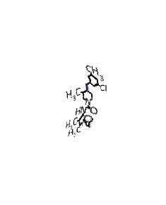 Cc1cc(Cl)cc(/C=C2\CCN(C(=O)Nc3onc(C)c3C)CC2C)c1